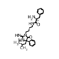 CC(C)CC1(c2ccccc2)NC(=N)N(CCCCNC(=O)[C@@H](N)Cc2ccccc2)C1=O